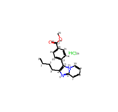 CCCCc1nc2ccccn2c1-c1ccc(C(=O)OC)cc1.Cl